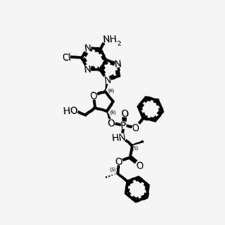 C[C@H](NP(=O)(Oc1ccccc1)O[C@@H]1C[C@H](n2cnc3c(N)nc(Cl)nc32)OC1CO)C(=O)O[C@@H](C)c1ccccc1